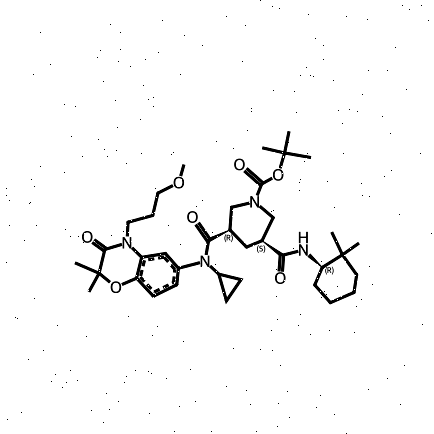 COCCCN1C(=O)C(C)(C)Oc2ccc(N(C(=O)[C@@H]3C[C@H](C(=O)N[C@@H]4CCCCC4(C)C)CN(C(=O)OC(C)(C)C)C3)C3CC3)cc21